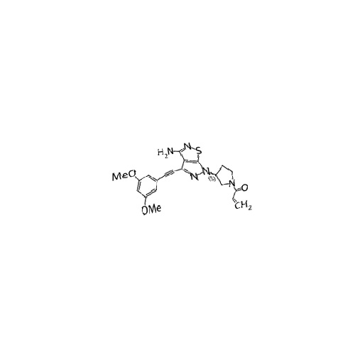 C=CC(=O)N1CC[C@H](n2nc(C#Cc3cc(OC)cc(OC)c3)c3c(N)nsc32)C1